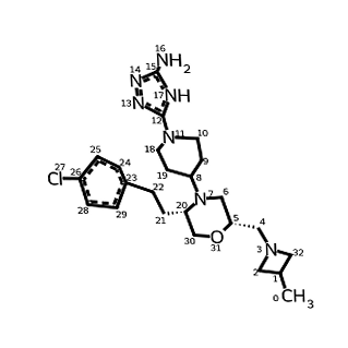 CC1CN(C[C@H]2CN(C3CCN(c4nnc(N)[nH]4)CC3)[C@@H](CCc3ccc(Cl)cc3)CO2)C1